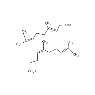 CC(=O)OC/C=C(\C)CCC=C(C)C.CC(C)=CCCC(C)=CCCC(=O)O